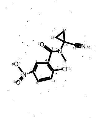 CN(C(=O)c1cc([N+](=O)[O-])ccc1Cl)C1(C#N)CC1